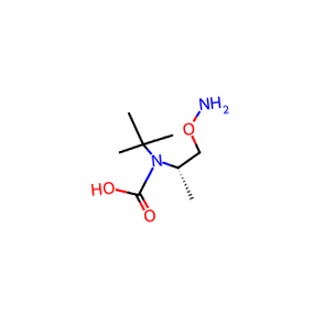 C[C@@H](CON)N(C(=O)O)C(C)(C)C